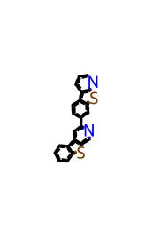 c1ccc2c(c1)sc1cnc(-c3ccc4c(c3)sc3ncccc34)cc12